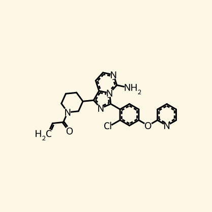 C=CC(=O)N1CCCC(c2nc(-c3ccc(Oc4ccccn4)cc3Cl)n3c(N)nccc23)C1